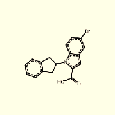 O=C(O)c1cc2cc(Br)ccc2n1C1Cc2ccccc2C1